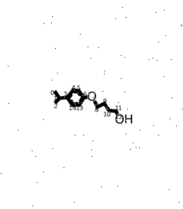 CC(C)c1ccc(OCCCCO)cc1